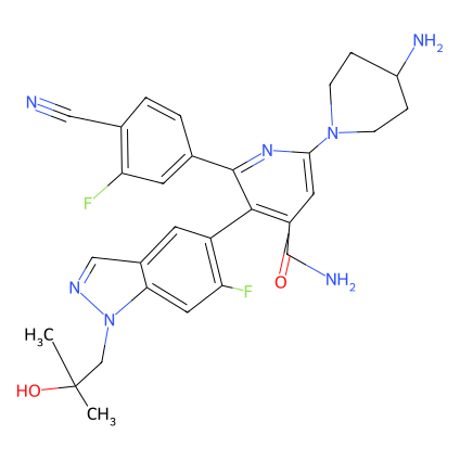 CC(C)(O)Cn1ncc2cc(-c3c(C(N)=O)cc(N4CCC(N)CC4)nc3-c3ccc(C#N)c(F)c3)c(F)cc21